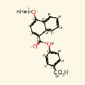 CCCCCCOc1ccc(C(=O)Oc2ccc(C(=O)O)cc2)c2ccccc12